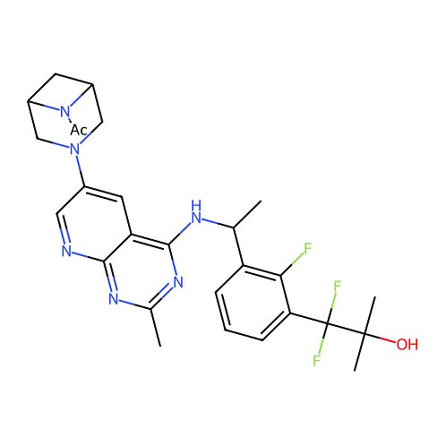 CC(=O)N1C2CC1CN(c1cnc3nc(C)nc(NC(C)c4cccc(C(F)(F)C(C)(C)O)c4F)c3c1)C2